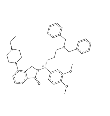 CCN1CCN(c2cccc3c2CN([C@H](CCCN(Cc2ccccc2)Cc2ccccc2)c2ccc(OC)c(OC)c2)C3=O)CC1